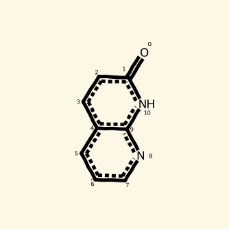 O=c1ccc2c[c]cnc2[nH]1